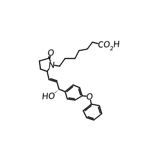 O=C(O)CCCCCCN1C(=O)CCC1/C=C/[C@@H](O)c1ccc(Oc2ccccc2)cc1